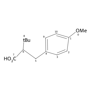 COc1ccc(CC(C(=O)O)C(C)(C)C)cc1